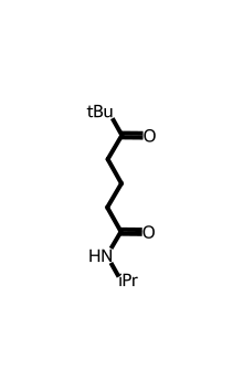 CC(C)NC(=O)CCCC(=O)C(C)(C)C